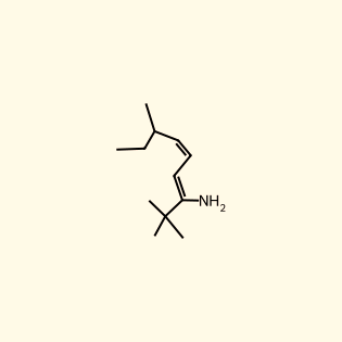 CCC(C)/C=C\C=C(/N)C(C)(C)C